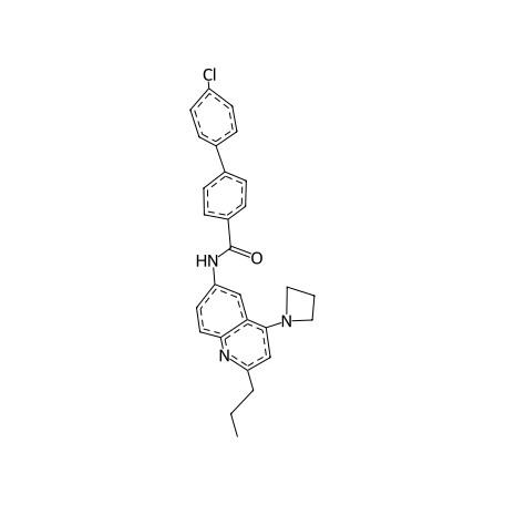 CCCc1cc(N2CCC2)c2cc(NC(=O)c3ccc(-c4ccc(Cl)cc4)cc3)ccc2n1